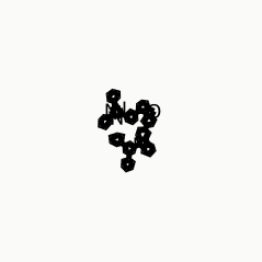 c1ccc(-c2cc(-c3ccccc3)cc(-n3c4ccccc4c4cc(-c5ccc6oc7cccc(-c8cccc(-c9nc(-c%10ccccc%10)nc(-c%10ccccc%10)n9)c8)c7c6c5)ccc43)c2)cc1